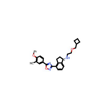 CC(C)Oc1ccc(-c2nc(-c3cccc4c3CC[C@@H]4NCCOCC3CCC3)no2)cc1C#N